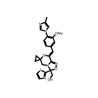 COc1cc(/C=C2\OC3(CC3)CN3C2=NOC3(CO)c2nccs2)ccc1-n1cnc(C)c1